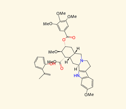 C=C(C)c1ccccc1O.COC(=O)[C@H]1[C@H]2C[C@@H]3c4[nH]c5cc(OC)ccc5c4CCN3C[C@H]2C[C@@H](OC(=O)c2cc(OC)c(OC)c(OC)c2)[C@@H]1OC